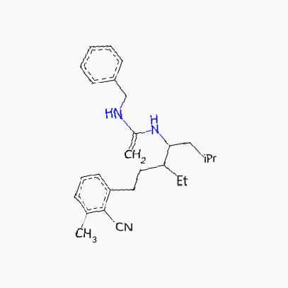 C=C(NCc1ccccc1)NC(CC(C)C)C(CC)CCc1cccc(C)c1C#N